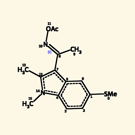 CSc1ccc2c(c1)c(/C(C)=N/OC(C)=O)c(C)n2C